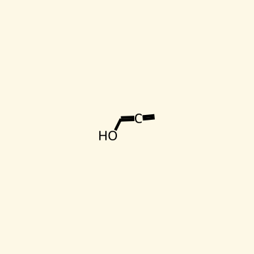 C=C=CO